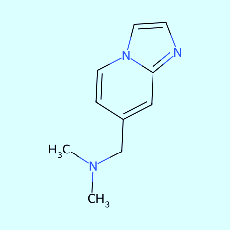 CN(C)Cc1ccn2ccnc2c1